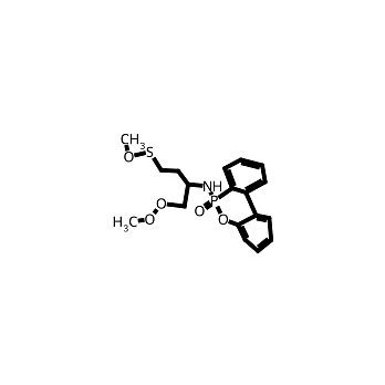 COOCC(CCSOC)NP1(=O)Oc2ccccc2-c2ccccc21